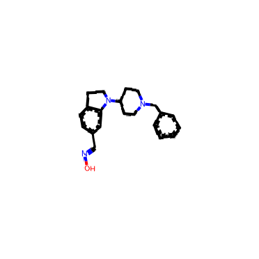 ON=Cc1ccc2c(c1)N(C1CCN(Cc3ccccc3)CC1)CC2